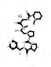 CC(C)[C@@H](CN1CCC[C@H]1C(=O)N1CCCC1C(=O)O[C@H](C)c1ccccc1)N(C)C(=O)[C@@H](NC(=O)[C@H]1CCCCN1C)C(C)(C)C